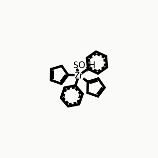 O=[S](=O)(O)[Zr]([C]1=CC=CC1)([C]1=CC=CC1)([c]1ccccc1)[c]1ccccc1